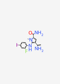 C=C(N)c1cc(C(N)=O)n(C)c1Nc1ccc(I)cc1F